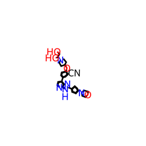 N#Cc1cc(-c2ccnc3[nH]c(-c4ccc(N5CCOCC5)cc4)nc23)ccc1OC1CCN(C(O)CO)CC1